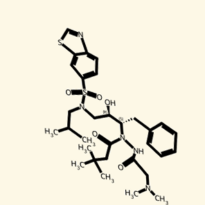 CC(C)CN(C[C@@H](O)[C@H](Cc1ccccc1)N(NC(=O)CN(C)C)C(=O)CC(C)(C)C)S(=O)(=O)c1ccc2ncsc2c1